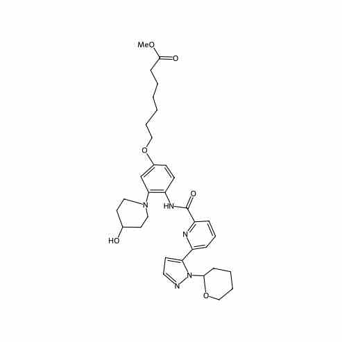 COC(=O)CCCCCCOc1ccc(NC(=O)c2cccc(-c3ccnn3C3CCCCO3)n2)c(N2CCC(O)CC2)c1